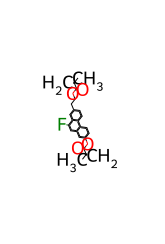 C=C(C)C(=O)OCCc1ccc2c(c1)c(F)cc1cc(OC(=O)C(=C)C)ccc12